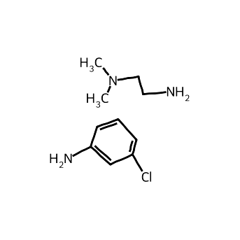 CN(C)CCN.Nc1cccc(Cl)c1